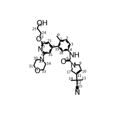 Cc1ccc(NC(=O)N2CC=C(C(C)(C)C#N)C2)cc1-c1cc(OCCO)nc(N2CCOCC2)c1